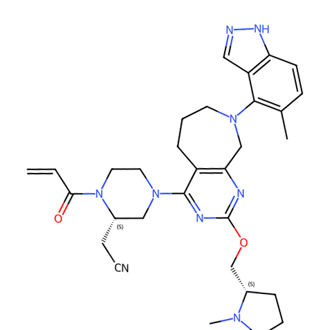 C=CC(=O)N1CCN(c2nc(OC[C@@H]3CCCN3C)nc3c2CCCN(c2c(C)ccc4[nH]ncc24)C3)C[C@@H]1CC#N